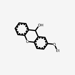 CCOc1ccc2c(c1)C(O)c1ccccc1O2